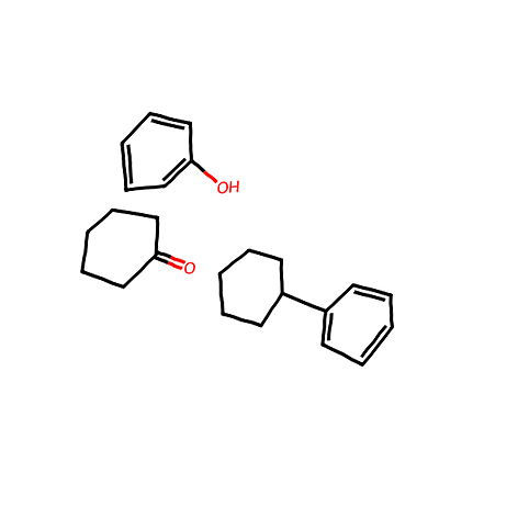 O=C1CCCCC1.Oc1ccccc1.c1ccc(C2CCCCC2)cc1